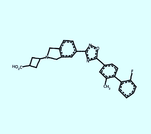 Cc1cc(-c2nc(-c3ccc4c(c3)CN(C3CC(C(=O)O)C3)C4)no2)ccc1-c1ccccc1F